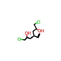 C=C[C](CC(O)CCl)CC(O)CCl